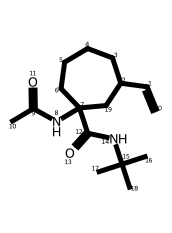 C=CC1CCCCC(NC(C)=O)(C(=O)NC(C)(C)C)C1